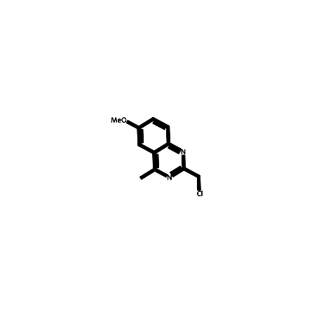 COc1ccc2nc(CCl)nc(C)c2c1